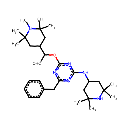 CN1C(C)(C)CC(C(C=O)Oc2nc(Cc3ccccc3)nc(NC3CC(C)(C)NC(C)(C)C3)n2)CC1(C)C